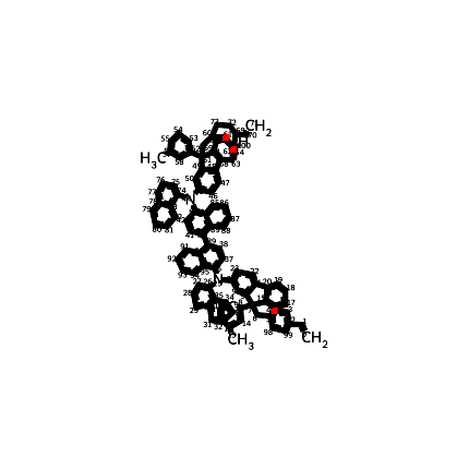 C=Cc1ccc(CC2(c3cccc(C)c3)c3ccccc3-c3ccc(N(c4cccc5ccccc45)c4ccc(-c5ccc(N(c6ccc7c(c6)C6(c8cccc(C)c8)CC8=C[C@@H](C9=CCCC6=C97)C(C=C)CC8)c6cccc7ccccc67)c6ccccc56)c5ccccc45)cc32)cc1